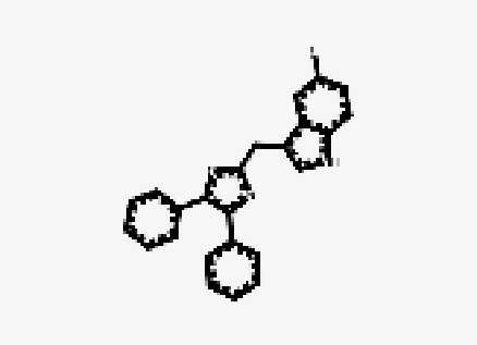 Fc1ccc2[nH]cc(Cc3nc(-c4ccccc4)c(-c4ccccc4)o3)c2c1